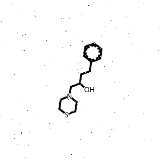 OC(CCc1ccccc1)CN1CCSCC1